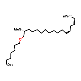 CCCCC/C=C\C/C=C\CCCCCCCCC[C@H](COCCCCCCCCCCCCCCCC)NC